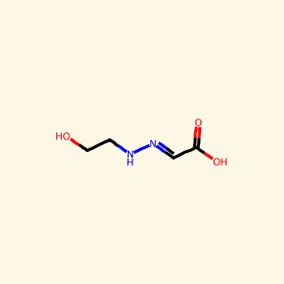 O=C(O)C=NNCCO